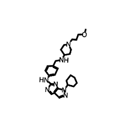 COCCCN1CCC(NCc2ccc(Nc3ncc4cnn(C5CCCCC5)c4n3)cc2)CC1